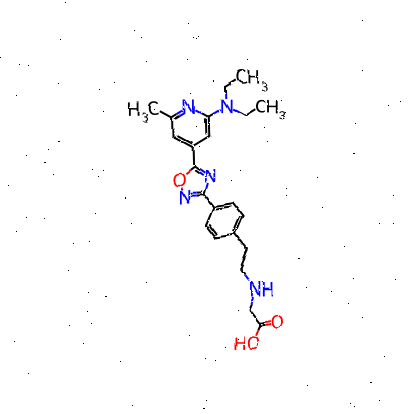 CCN(CC)c1cc(-c2nc(-c3ccc(CCNCC(=O)O)cc3)no2)cc(C)n1